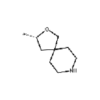 C[C@H]1CC2(CCNCC2)CO1